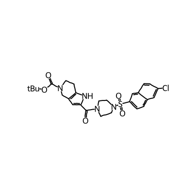 CC(C)(C)OC(=O)N1CCc2[nH]c(C(=O)N3CCN(S(=O)(=O)c4ccc5cc(Cl)ccc5c4)CC3)cc2C1